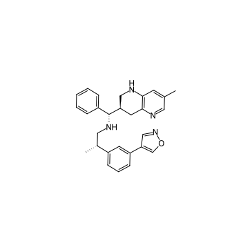 Cc1cnc2c(c1)NC[C@H]([C@H](NC[C@@H](C)c1cccc(-c3cnoc3)c1)c1ccccc1)C2